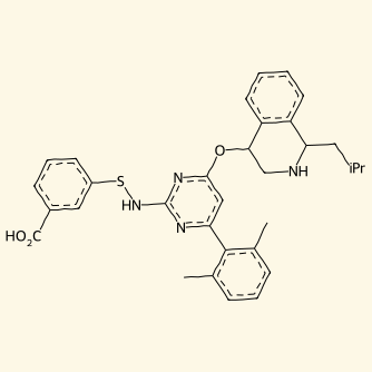 Cc1cccc(C)c1-c1cc(OC2CNC(CC(C)C)c3ccccc32)nc(NSc2cccc(C(=O)O)c2)n1